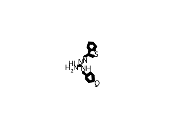 COc1ccc(CNC(N)=NN=Cc2csc3ccccc23)cc1.I